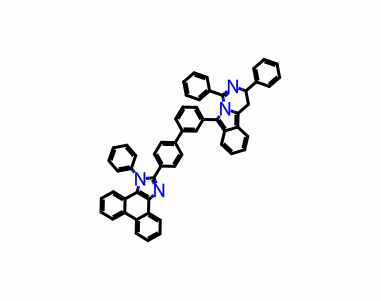 c1ccc(C2=NC(c3ccccc3)Cc3c4ccccc4c(-c4cccc(-c5ccc(-c6nc7c8ccccc8c8ccccc8c7n6-c6ccccc6)cc5)c4)n32)cc1